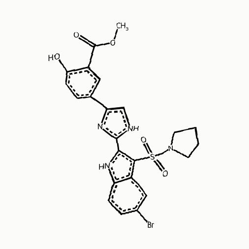 COC(=O)c1cc(-c2c[nH]c(-c3[nH]c4ccc(Br)cc4c3S(=O)(=O)N3CCCC3)n2)ccc1O